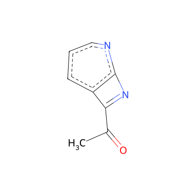 CC(=O)C1=Nc2ncccc21